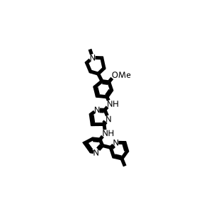 COc1cc(Nc2nccc(Nc3cccnc3-c3cc(C)ccn3)n2)ccc1C1CCN(C)CC1